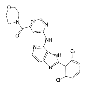 O=C(c1cc(Nc2nccc3nc(-c4c(Cl)cccc4Cl)[nH]c23)ncn1)N1CCOCC1